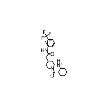 NC1CCCCC1C(=O)N1CCC(CC(=O)Nc2cccc(C(F)(F)F)n2)CC1